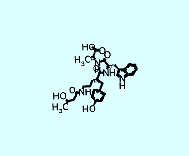 CC(O)CC(=O)NCCC[C@@H](Cc1ccc(O)cc1)C(=O)N[C@@H](Cc1c[nH]c2ccccc12)C(=O)N[C@@H](C)C(=O)O